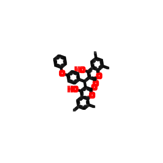 Cc1cc(C)c2oc(=O)c(C(c3ccc(Oc4ccccc4)cc3)c3c(O)c4cc(C)cc(C)c4oc3=O)c(O)c2c1